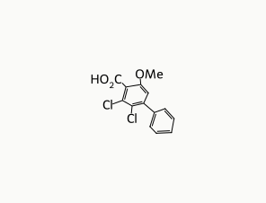 COc1cc(-c2ccccc2)c(Cl)c(Cl)c1C(=O)O